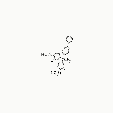 O=C(O)c1ccc(C(c2ccc(-c3ccccc3)cc2)(c2ccc(C(=O)O)c(F)c2)C(F)(F)F)cc1F